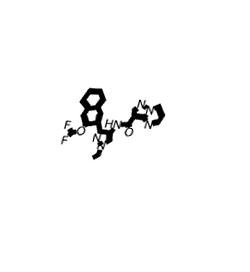 CCn1cc(NC(=O)c2cnn3cccnc23)c(-c2cc3ccccc3cc2OC(F)F)n1